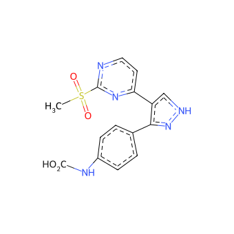 CS(=O)(=O)c1nccc(-c2c[nH]nc2-c2ccc(NC(=O)O)cc2)n1